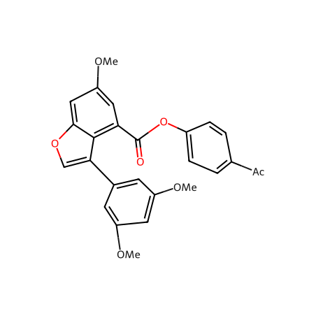 COc1cc(OC)cc(-c2coc3cc(OC)cc(C(=O)Oc4ccc(C(C)=O)cc4)c23)c1